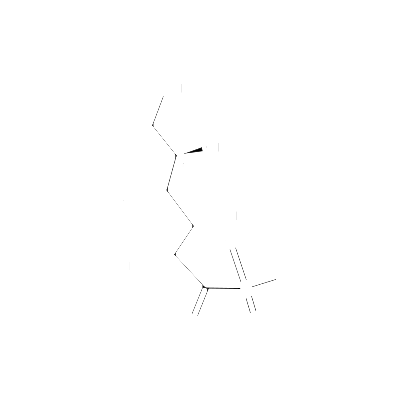 O=C([C@H](O)[C@@H](O)[C@H](O)[C@H](O)CO)S(=O)(=O)O